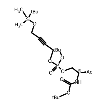 CC(=O)[C@H](COP(=O)(OCC#CCO[Si](C)(C)C(C)(C)C)OC(C)(C)C)NC(=O)OC(C)(C)C